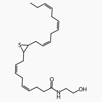 CC/C=C\C/C=C\C/C=C\CC1SC1C/C=C\C/C=C\CCC(=O)NCCO